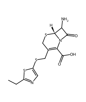 CCc1ncc(SCC2=C(C(=O)O)N3C(=O)C(N)[C@H]3SC2)s1